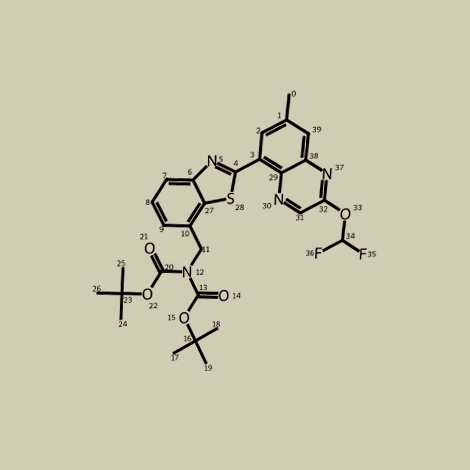 Cc1cc(-c2nc3cccc(CN(C(=O)OC(C)(C)C)C(=O)OC(C)(C)C)c3s2)c2ncc(OC(F)F)nc2c1